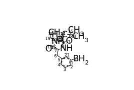 Bc1cccc(CC(NC(=O)OC(C)(C)C)C(=O)NCC)c1